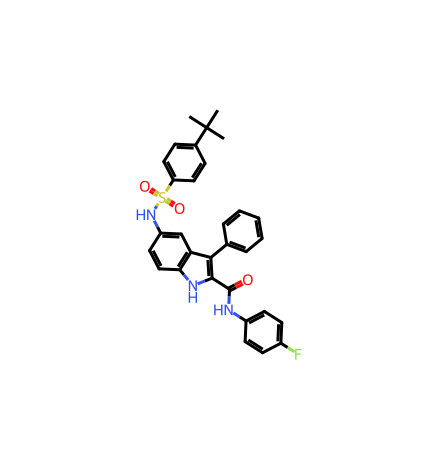 CC(C)(C)c1ccc(S(=O)(=O)Nc2ccc3[nH]c(C(=O)Nc4ccc(F)cc4)c(-c4ccccc4)c3c2)cc1